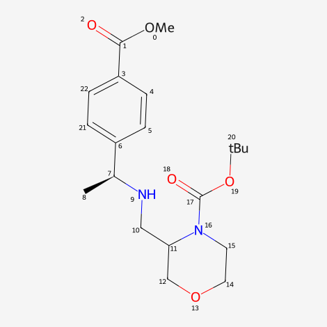 COC(=O)c1ccc([C@H](C)NCC2COCCN2C(=O)OC(C)(C)C)cc1